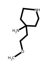 COCCC1(N)CCNCC1